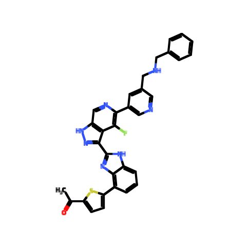 CC(=O)c1ccc(-c2cccc3[nH]c(-c4n[nH]c5cnc(-c6cncc(CNCc7ccccc7)c6)c(F)c45)nc23)s1